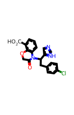 O=C(O)c1cccc2c1OCC(=O)N2C(Cc1ccc(Cl)cc1)c1cnc[nH]1